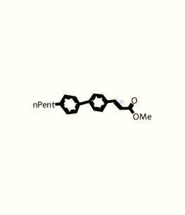 CCCCCc1ccc(-c2ccc(/C=C/C(=O)OC)cc2)cc1